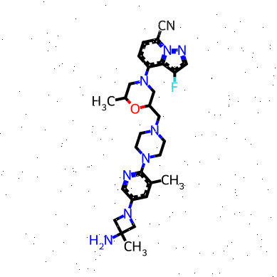 Cc1cc(N2CC(C)(N)C2)cnc1N1CCN(CC2CN(c3ccc(C#N)n4ncc(F)c34)CC(C)O2)CC1